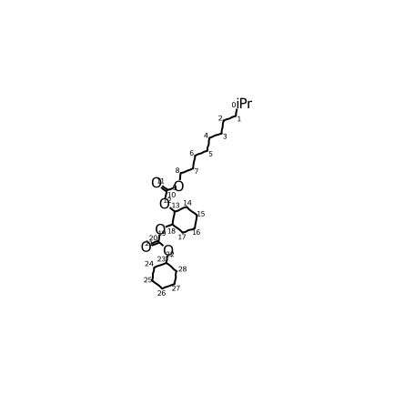 CC(C)CCCCCCCCOC(=O)OC1CCCCC1OC(=O)OC1CCCCC1